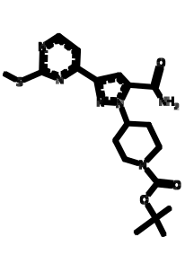 CSc1nccc(-c2cc(C(N)=O)n(C3CCN(C(=O)OC(C)(C)C)CC3)n2)n1